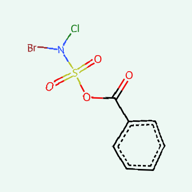 O=C(OS(=O)(=O)N(Cl)Br)c1ccccc1